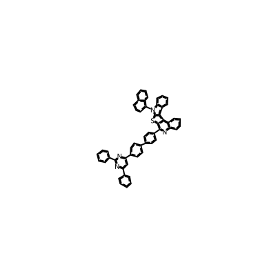 c1ccc(-c2cc(-c3ccc(-c4ccc(-c5nc6ccccc6c6c5sc5c6c6ccccc6n5-c5cccc6ccccc56)cc4)cc3)nc(-c3ccccc3)n2)cc1